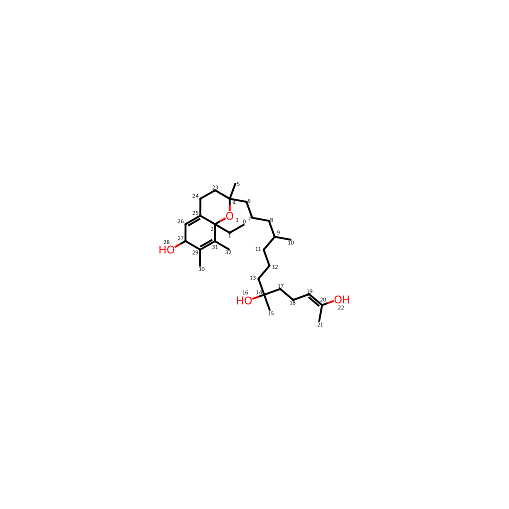 CCC12OC(C)(CCCC(C)CCCC(C)(O)CC/C=C(\C)O)CCC1=CC(O)C(C)=C2C